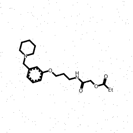 CCC(=O)OCC(=O)NCCCOc1cccc(CN2CCCCC2)c1